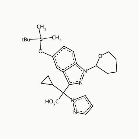 CC(C)(C)[Si](C)(C)Oc1ccc2c(c1)c(C(C(=O)O)(C1CC1)n1cccn1)nn2C1CCCCO1